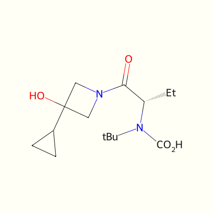 CC[C@@H](C(=O)N1CC(O)(C2CC2)C1)N(C(=O)O)C(C)(C)C